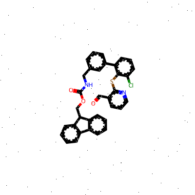 O=Cc1cccnc1Sc1c(Cl)cccc1-c1cccc(CNC(=O)OCC2c3ccccc3-c3ccccc32)c1